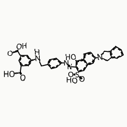 O=C(O)c1cc(NCc2ccc(N=Nc3c(S(=O)(=O)O)cc4cc(N5Cc6ccccc6C5)ccc4c3O)cc2)cc(C(=O)O)c1